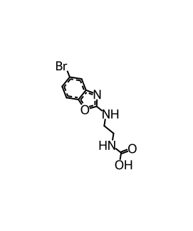 O=C(O)NCCNc1nc2cc(Br)ccc2o1